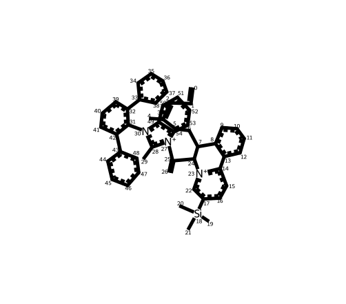 C=CC=C(C)CCC1c2ccccc2-c2ccc([Si](C)(C)C)c[n+]2C1C(=C)[n+]1c(C)n(-c2c(-c3ccccc3)cccc2-c2ccccc2)c2ccccc21